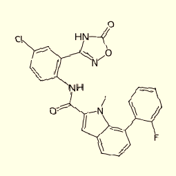 Cn1c(C(=O)Nc2ccc(Cl)cc2-c2noc(=O)[nH]2)cc2cccc(-c3ccccc3F)c21